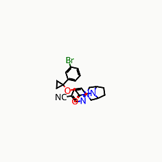 N#Cc1ccc(N2C3CCC2CN(C(=O)COC2(c4cccc(Br)c4)CC2)C3)nc1